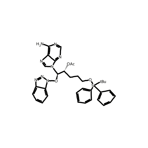 CC(=O)O[C@H](CCCO[Si](c1ccccc1)(c1ccccc1)C(C)(C)C)[C@@H](On1nnc2ccccc21)n1cnc2c(N)ncnc21